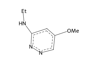 CCNc1cc(OC)cnn1